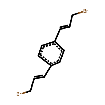 BrC/C=C/c1ccc(/C=C/CBr)cc1